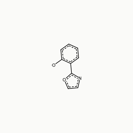 [O]c1ccccc1-c1ncco1